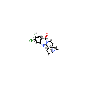 CN1CCC[C@H]2c3nc4cc(Cl)c(Cl)cc4c(=O)n3CC[C@@H]21